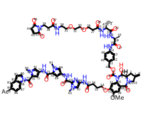 C=C1C[C@H]2C(O)N(C(=O)OCc3ccc(NC(=O)[C@H](C)NC(=O)[C@@H](NC(=O)CCOCCOCCNC(=O)CCN4C(=O)C=CC4=O)C(C)C)cc3)c3cc(OCCCC(=O)Nc4cn(C)c(C(=O)Nc5cc(C(=O)Nc6cc(C(=O)n7ccc8cc(C(C)=O)ccc87)n(C)c6)n(C)c5)n4)c(OC)cc3C(=O)N2C1